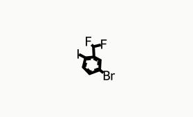 FC(F)c1cc(Br)ccc1I